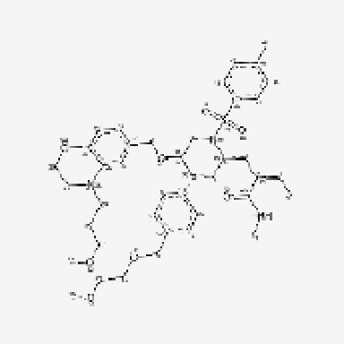 CC[C@H](C[C@H]1C[C@H](c2ccc(COCCOC)cc2)[C@@H](OCc2ccc3c(c2)N(CCCOC)CCO3)CN1S(=O)(=O)c1ccc(C)cc1)C(=O)NC